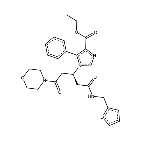 CCOC(=O)c1ncn([C@@H](CC(=O)NCc2ccco2)CC(=O)N2CCOCC2)c1-c1ccccc1